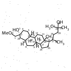 COC[C@@]1(O)CC[C@H]2[C@@H](CC[C@@H]3[C@@H]2CC[C@]2(C)[C@@H]([C@H](C)CCC(C)(C)O)CC[C@@H]32)C1